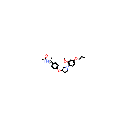 CCCOc1ccc(N2CCC(Oc3ccc([C@H](C)NC(C)=O)cc3)C2)c(OC)c1